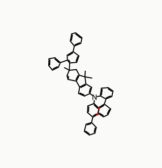 CC1(c2ccc(-c3ccccc3)cc2-c2ccccc2)C=CC2=C(C1)C(C)(C)c1cc(N(c3ccc(-c4ccccc4)cc3)c3ccccc3-c3ccccc3)ccc12